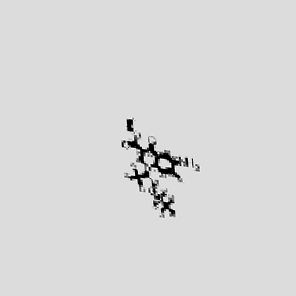 CCOC(=O)c1cn([C@H](CO[Si](C)(C)C(C)(C)C)C(C)(C)C)c2cc(C)c(N)cc2c1=O